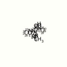 Cc1noc(-c2cc3c(nc2N2CCC(NC4CCCCC4)[C@H](O)C2)CCCC3)n1